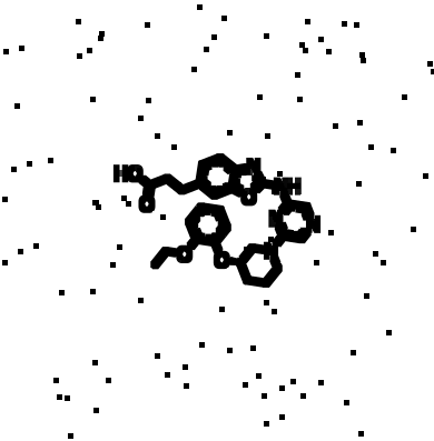 CCOc1ccccc1O[C@@H]1CCCN(c2cncc(Nc3nc4ccc(CCC(=O)O)cc4o3)n2)C1